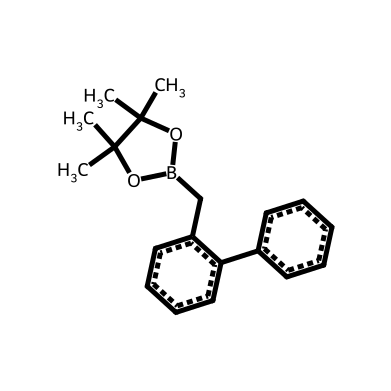 CC1(C)OB(Cc2ccccc2-c2ccccc2)OC1(C)C